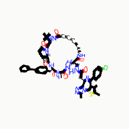 Cc1sc2c(c1C)C(c1ccc(Cl)cc1)=N[C@@H](CC(=O)NC[C@H]1NC(=O)[C@@H](C)NC(=O)[C@@H](Cc3ccc(-c4ccccc4)cc3)NC(=O)[C@@H]3CCCN3C(=O)C(C(C)(C)C)NC(=O)CCCCCCNC1=O)c1nnc(C)n1-2